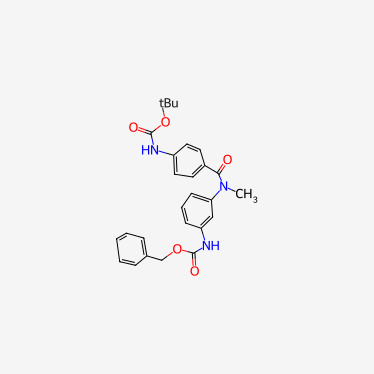 CN(C(=O)c1ccc(NC(=O)OC(C)(C)C)cc1)c1cccc(NC(=O)OCc2ccccc2)c1